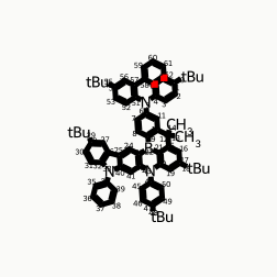 CC(C)(C)c1ccc(N(c2ccc3c(c2)C(C)(C)c2cc(C(C)(C)C)cc4c2B3c2cc3c5cc(C(C)(C)C)ccc5n(-c5ccccc5)c3cc2N4c2ccc(C(C)(C)C)cc2)c2ccc(C(C)(C)C)cc2-c2ccccc2)cc1